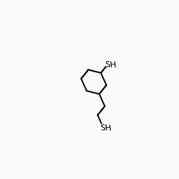 SCCC1CCCC(S)C1